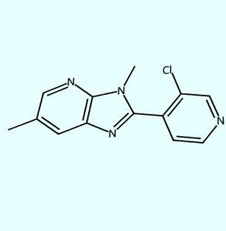 Cc1cnc2c(c1)nc(-c1ccncc1Cl)n2C